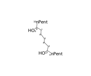 CCCCCC(O)CCCCCC(O)CCCCC